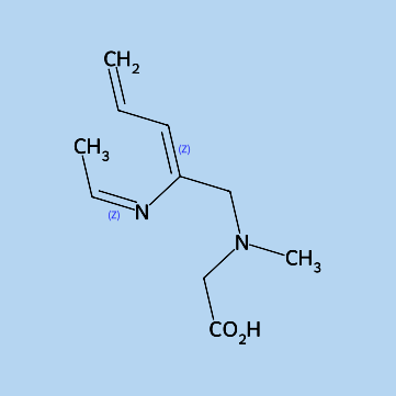 C=C/C=C(CN(C)CC(=O)O)\N=C/C